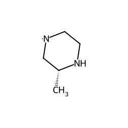 C[C@@H]1C[N]CCN1